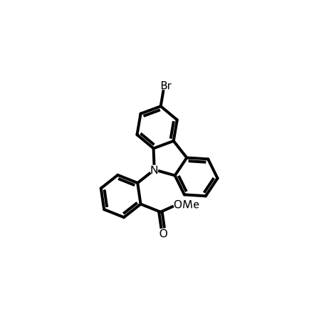 COC(=O)c1ccccc1-n1c2ccccc2c2cc(Br)ccc21